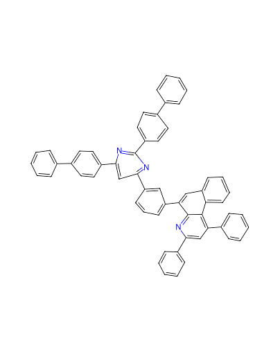 c1ccc(-c2ccc(-c3cc(-c4cccc(-c5cc6ccccc6c6c(-c7ccccc7)cc(-c7ccccc7)nc56)c4)nc(-c4ccc(-c5ccccc5)cc4)n3)cc2)cc1